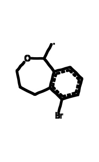 [CH2]C1OCCCc2c(Br)cccc21